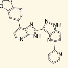 c1ccc(-c2ccc3[nH]nc(-c4nc5c(-c6ccc7c(c6)OCO7)ccnc5[nH]4)c3n2)nc1